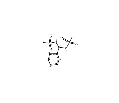 CS(=O)(=O)OB(OS(C)(=O)=O)c1ccccc1